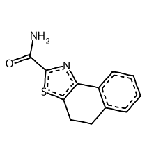 NC(=O)c1nc2c(s1)CCc1ccccc1-2